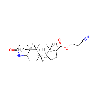 C[C@]12CCC(=O)NC1CC[C@@H]1[C@H]2CC[C@]2(C)C(C(=O)OCCC#N)CC[C@@H]12